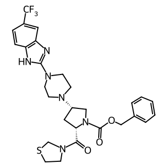 O=C([C@@H]1C[C@H](N2CCN(c3nc4cc(C(F)(F)F)ccc4[nH]3)CC2)CN1C(=O)OCc1ccccc1)N1CCSC1